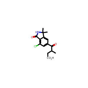 CC(CC(=O)O)C(=O)c1cc(Cl)c2c(c1)C(C)(C)NC2=O